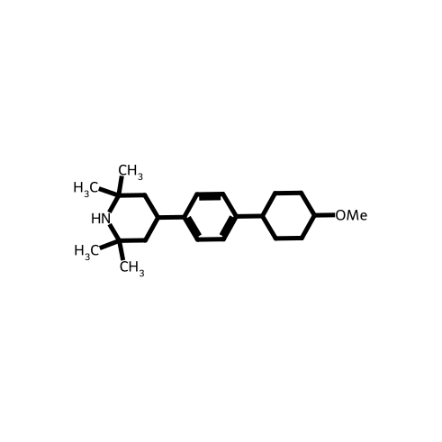 COC1CCC(c2ccc(C3CC(C)(C)NC(C)(C)C3)cc2)CC1